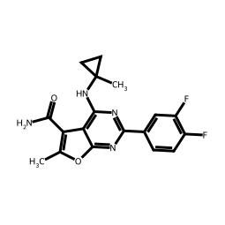 Cc1oc2nc(-c3ccc(F)c(F)c3)nc(NC3(C)CC3)c2c1C(N)=O